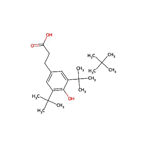 CC(C)(C)C.CC(C)(C)c1cc(CCC(=O)O)cc(C(C)(C)C)c1O